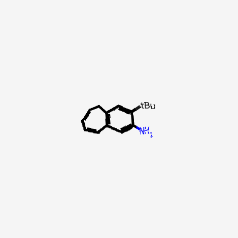 CC(C)(C)c1cc2c(cc1N)C=CC=CC2